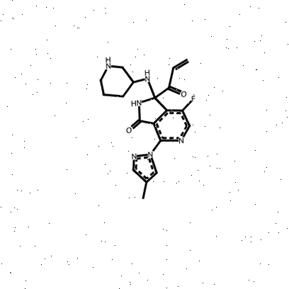 C=CC(=O)C1(NC2CCCNC2)NC(=O)c2c(-n3cc(C)cn3)ncc(F)c21